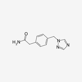 NC(=O)Cc1ccc(Cn2cncn2)cc1